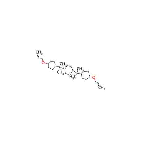 C=CCOC1CCC(C(C)(C)C2CCC(C(C)(C)C3CCC(OCC=C)CC3)CC2)CC1